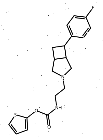 O=C(NCCN1CC2CC(c3ccc(F)cc3)C2C1)Oc1cccs1